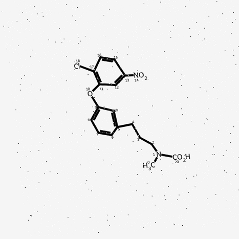 CN(CCCc1cccc(Oc2cc([N+](=O)[O-])ccc2Cl)c1)C(=O)O